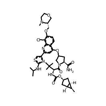 CC(C)Nc1nc(-c2cc(OC3C[C@@H](C(N)=O)N(C(=O)[C@@H](NC(=O)O[C@@H]4C[C@@H]5[C@H](C)[C@@H]5C4)C(C)(C)C)C3)c3ccc(OC[C@H]4COCCN4C)c(Cl)c3n2)cs1